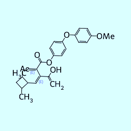 C=C(O)C(=C/C1C(C)CC1C(C)=O)/C(=C\C)C(=O)Oc1ccc(Oc2ccc(OC)cc2)cc1